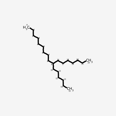 CCCCCCCCC[C](CCCCCC)CCCCCCC